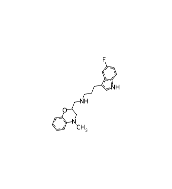 CN1CC(CNCCCc2c[nH]c3ccc(F)cc23)Oc2ccccc21